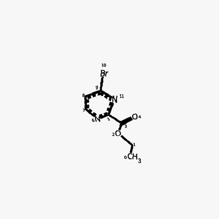 CCOC(=O)c1nccc(Br)n1